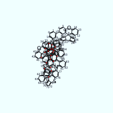 c1cc(-c2ccc3c(c2)C2(c4ccccc4O3)c3ccccc3-c3ccccc32)cc(N(c2ccc3c(c2)C2(c4ccccc4O3)c3ccccc3-c3cc(-c4ccc5c(c4)-c4ccccc4C54c5ccccc5Sc5ccc(N(c6ccccc6-c6ccc7c(c6)C6(c8ccccc8S7)c7ccccc7-c7ccccc76)c6cccc7sc8ccccc8c67)cc54)ccc32)c2cccc3oc4ccccc4c23)c1